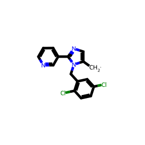 [CH2]c1cnc(-c2cccnc2)n1Cc1cc(Cl)ccc1Cl